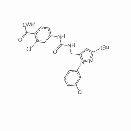 COC(=O)c1ccc(NC(=O)NCc2cc(C(C)(C)C)nn2-c2cccc(Cl)c2)cc1Cl